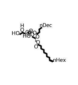 CCCCCC/C=C\CCCCCCCC(=O)OC[C@H](COP(=O)(O)OC[C@@H](O)CO)OC(=O)CCCCCCCCCCCCC